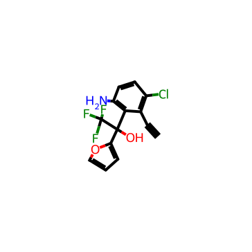 C#Cc1c(Cl)ccc(N)c1C(O)(c1ccco1)C(F)(F)F